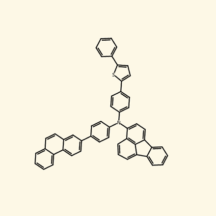 c1ccc(-c2ccc(-c3ccc(N(c4ccc(-c5ccc6c(ccc7ccccc76)c5)cc4)c4ccc5c6c(cccc46)-c4ccccc4-5)cc3)s2)cc1